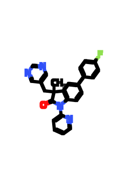 CC1(Cc2cncnc2)C(=O)N(c2ccccn2)c2ccc(-c3ccc(F)cc3)cc21